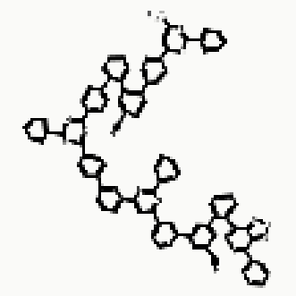 CC1=C=C(c2ccc(-c3ccc(C#N)cc3-c3ccccc3-c3ccc(-c4nc(-c5ccccc5)nc(-c5ccc(-c6cccc(-c7cc(-c8cccc(-c9cc(C#N)cc(-c%10ccccc%10-c%10ccc(-c%11ccccc%11)c%11nonc%10%11)c9)c8)nc(-c8ccccc8)n7)c6)cc5)n4)cc3)cc2)OC(c2ccccc2)=N1